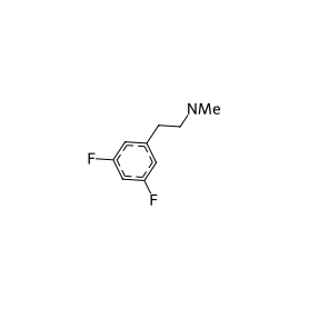 CNCCc1cc(F)cc(F)c1